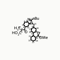 CCCCc1nc2ccc(C(=O)C(C)C(=O)O)cc2n1Cc1ccc(-c2ccccc2C(=O)OC)cc1